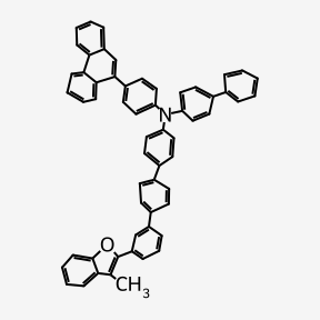 Cc1c(-c2cccc(-c3ccc(-c4ccc(N(c5ccc(-c6ccccc6)cc5)c5ccc(-c6cc7ccccc7c7ccccc67)cc5)cc4)cc3)c2)oc2ccccc12